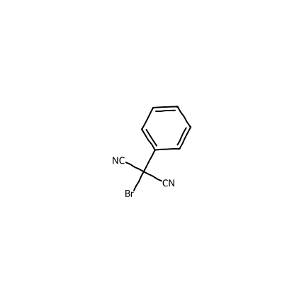 N#CC(Br)(C#N)c1ccccc1